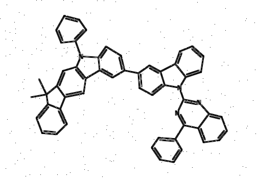 CC1(C)c2ccccc2-c2cc3c4cc(-c5ccc6c(c5)c5ccccc5n6-c5nc(-c6ccccc6)c6ccccc6n5)ccc4n(-c4ccccc4)c3cc21